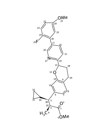 COC(=O)[C@@H](C)[C@H](c1ccc2c(c1)OC(c1ccc(-c3cc(OC)ccc3F)cn1)CC2)C1CC1